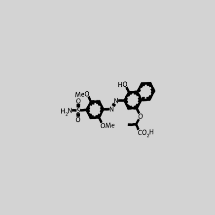 COc1cc(S(N)(=O)=O)c(OC)cc1/N=N/c1cc(OC(C)C(=O)O)c2ccccc2c1O